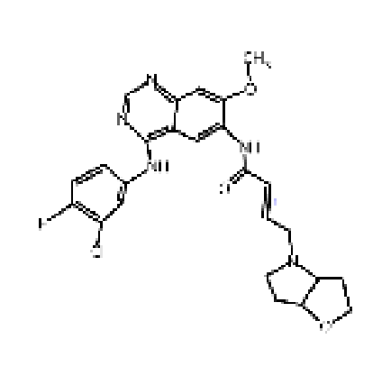 COc1cc2ncnc(Nc3ccc(F)c(Cl)c3)c2cc1NC(=O)/C=C/CN1CCC2OCCC21